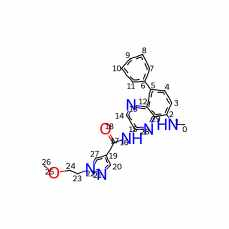 CNc1ccc(-c2ccccc2)c2ncc(NC(=O)c3cnn(CCOC)c3)nc12